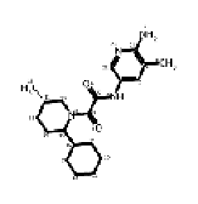 Cc1cc(NC(=O)C(=O)N2C[C@@H](C)CCC2C2CCCCC2)cnc1N